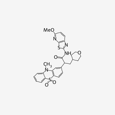 COc1ccc2nc(NC(=O)C(CC3CCOCC3)c3ccc4c(c3)N(C)c3ccccc3S4(=O)=O)sc2n1